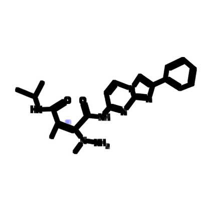 C/C(C(=O)NC(C)C)=C(/C(=O)Nc1ccn2cc(-c3ccccc3)nc2n1)N(C)N